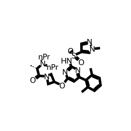 CCCN(CCC)[C@@H](C)C(=O)N1CC(Oc2cc(-c3c(C)cccc3C)nc(NS(=O)(=O)c3cnn(C)c3)n2)C1